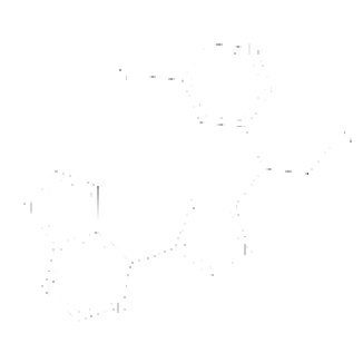 N#CCC(c1cncc(C#N)c1)c1ncc(-c2ncnc3[nH]ccc23)s1